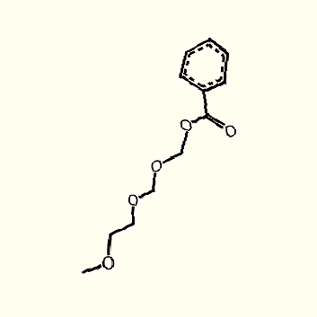 COCCOCOCOC(=O)c1ccccc1